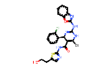 CCC1=C(C(=O)Nc2ncc(CCO)s2)C(c2ccccc2Cl)N=C(Nc2nc3ccccc3o2)N1